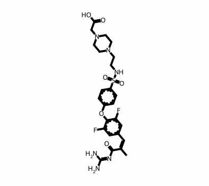 CC(=Cc1cc(F)c(Oc2ccc(S(=O)(=O)NCCN3CCN(CC(=O)O)CC3)cc2)c(F)c1)C(=O)N=C(N)N